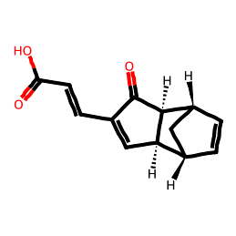 O=C(O)/C=C/C1=C[C@H]2[C@@H](C1=O)[C@@H]1C=C[C@H]2C1